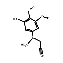 C#CCN(C(=O)O)c1cc(C)c(OCC)c(OCC)c1